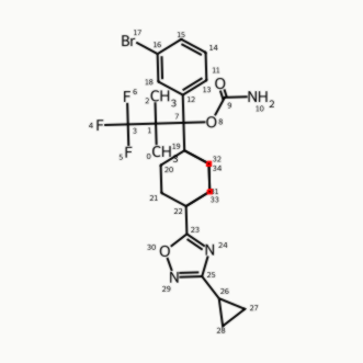 CC(C)(C(F)(F)F)C(OC(N)=O)(c1cccc(Br)c1)C12CCC(c3nc(C4CC4)no3)(CC1)CC2